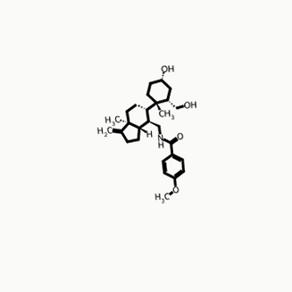 C=C1CC[C@H]2[C@H](CNC(=O)c3ccc(OC)cc3)[C@@H]([C@]3(C)CC[C@H](O)C[C@@H]3CO)CC[C@]12C